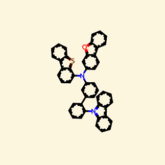 c1cc(-c2ccccc2-n2c3ccccc3c3ccccc32)cc(N(c2ccc3c(c2)oc2ccccc23)c2cccc3c2sc2ccccc23)c1